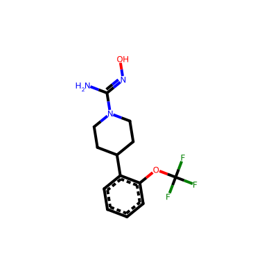 N/C(=N\O)N1CCC(c2ccccc2OC(F)(F)F)CC1